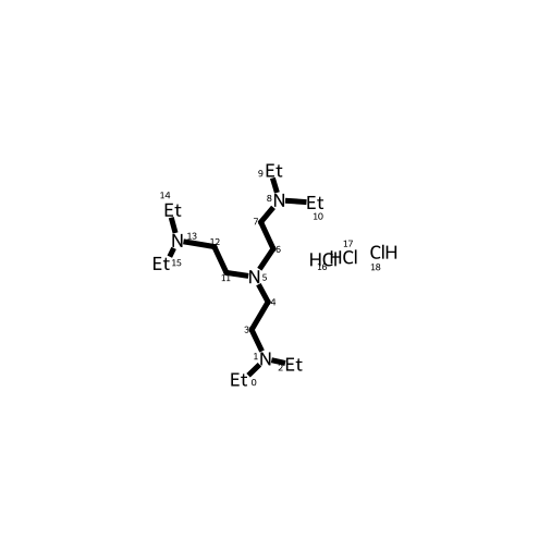 CCN(CC)CCN(CCN(CC)CC)CCN(CC)CC.Cl.Cl.Cl